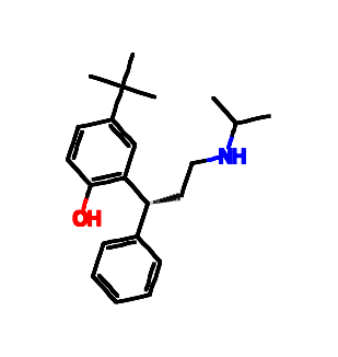 CC(C)NCC[C@H](c1ccccc1)c1cc(C(C)(C)C)ccc1O